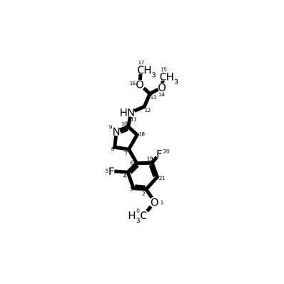 COc1cc(F)c(C2CN=C(NCC(OC)OC)C2)c(F)c1